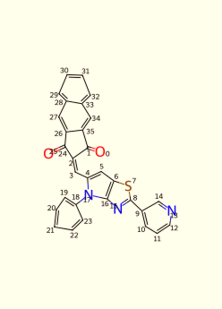 O=C1C(=Cc2cc3sc(-c4cccnc4)nc3n2-c2ccccc2)C(=O)c2cc3ccccc3cc21